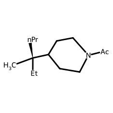 CCC[C@](C)(CC)C1CCN(C(C)=O)CC1